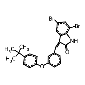 CC(C)(C)c1ccc(Oc2cccc(C=C3C(=O)Nc4c(Br)cc(Br)cc43)c2)cc1